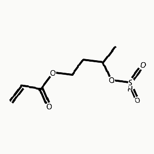 C=CC(=O)OCCC(C)O[SH](=O)=O